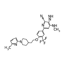 CNc1cc(-c2ccc(OCCC3CCN(c4cccc(C)n4)CC3)c(C(F)(F)F)c2)nc(C#N)c1N=N